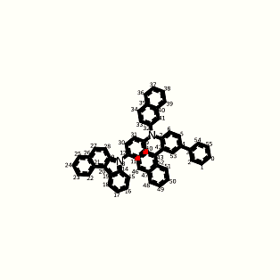 c1ccc(-c2ccc(N(c3ccc(-n4c5ccccc5c5c6ccccc6ccc54)cc3)c3ccc4ccccc4c3)c(-c3cccc4ccccc34)c2)cc1